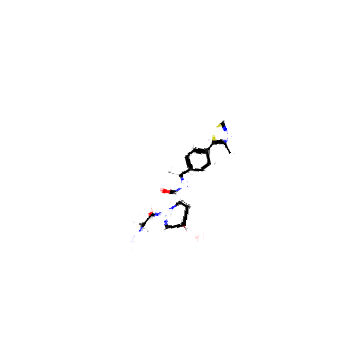 CC[C@](N)(C(=O)N1C[C@H](O)C[C@H]1C(=O)N[C@@H](C)c1ccc(-c2scnc2C)cc1)C(C)(C)C